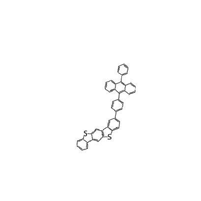 c1ccc(-c2c3ccccc3c(-c3ccc(-c4ccc5sc6cc7c(cc6c5c4)sc4ccccc47)cc3)c3ccccc23)cc1